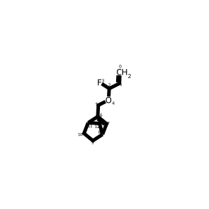 C=CC(F)OCC1=CC2CCC1C2